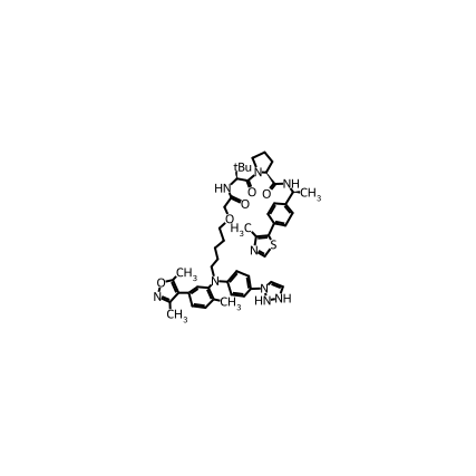 Cc1ccc(-c2c(C)noc2C)cc1N(CCCCCOCC(=O)N[C@H](C(=O)N1CCC[C@H]1C(=O)N[C@@H](C)c1ccc(-c2scnc2C)cc1)C(C)(C)C)c1ccc(N2C=CNN2)cc1